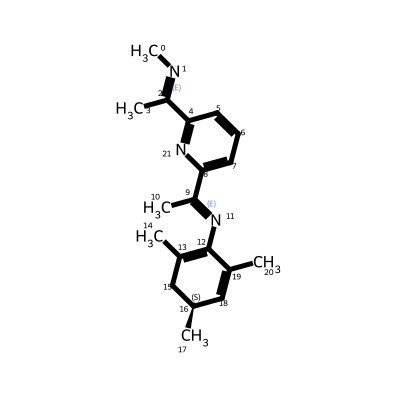 C/N=C(\C)c1cccc(/C(C)=N/C2=C(C)C[C@H](C)C=C2C)n1